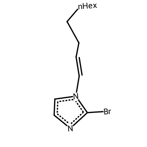 CCCCCCCCC=Cn1ccnc1Br